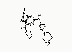 c1nc2c(NC3CCCC3)nc(Nc3ccc(N4CCSCC4)cc3)nc2[nH]1